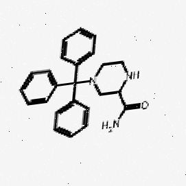 NC(=O)C1CN(C(c2ccccc2)(c2ccccc2)c2ccccc2)CCN1